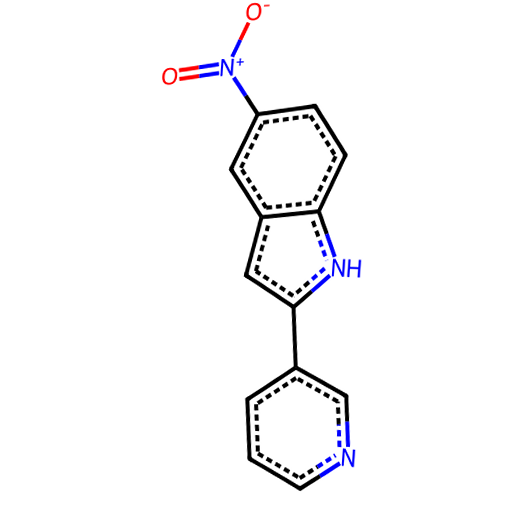 O=[N+]([O-])c1ccc2[nH]c(-c3cccnc3)cc2c1